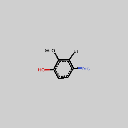 CCc1c(N)ccc(O)c1OC